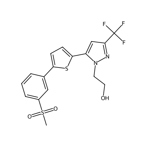 CS(=O)(=O)c1cccc(-c2ccc(-c3cc(C(F)(F)F)nn3CCO)s2)c1